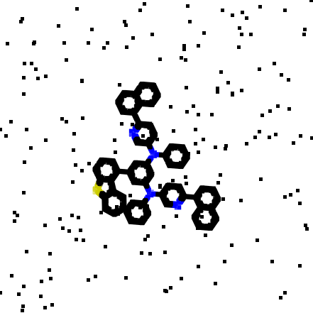 c1ccc(N(c2ccc(-c3cccc4ccccc34)nc2)c2cc(-c3cccc4sc5ccccc5c34)cc(N(c3ccccc3)c3ccc(-c4cccc5ccccc45)nc3)c2)cc1